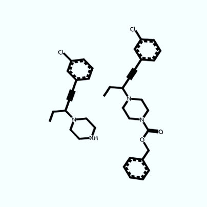 CCC(C#Cc1cccc(Cl)c1)N1CCN(C(=O)OCc2ccccc2)CC1.CCC(C#Cc1cccc(Cl)c1)N1CCNCC1